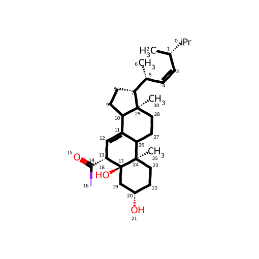 CC(C)[C@@H](C)/C=C\[C@@H](C)[C@H]1CCC2C3=C[C@@H](C(=O)I)[C@@]4(O)C[C@@H](O)CC[C@]4(C)C3CC[C@@]21C